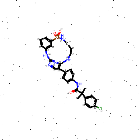 CC(C)(C(=O)Nc1ccc(-c2cnc3nc2NCCCNS(=O)(=O)c2cccc(c2)N3)cc1)c1ccc(Cl)cc1